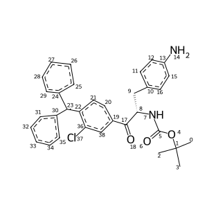 CC(C)(C)OC(=O)N[C@@H](Cc1ccc(N)cc1)C(=O)c1ccc([C](c2ccccc2)c2ccccc2)c(Cl)c1